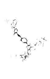 CC(C)(C)OC(=O)NNC(=O)c1cc(-c2ccc(C#Cc3ccc(C(=O)N4CCCC[C@H]4C(=O)O)cc3Cl)cc2)nc2cc(NS(=O)(=O)CC(=O)O)ncc12